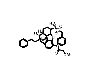 COCC(=O)Oc1ccc2c3c1OC1C(N(C)S(=O)(=O)Cc4ccccc4)CC[C@H]4[C@@H](C2)N(CCc2ccccc2)CC[C@]314